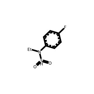 CCN(c1ccc(F)cc1)[SH](=O)=O